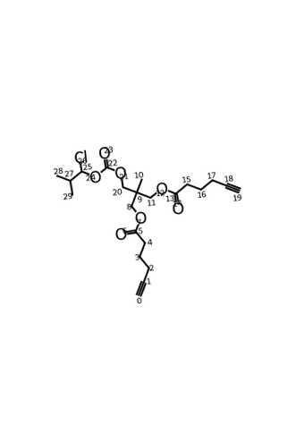 C#CCCCC(=O)OCC(C)(COC(=O)CCCC#C)COC(=O)OC(Cl)C(C)C